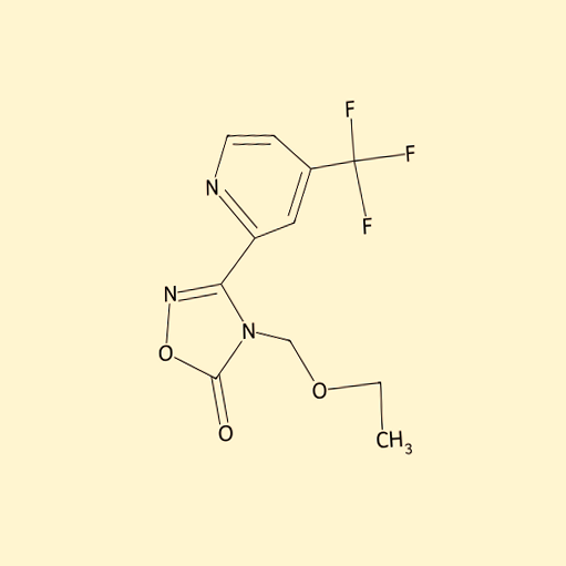 CCOCn1c(-c2cc(C(F)(F)F)ccn2)noc1=O